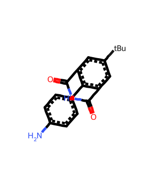 CC(C)(C)c1cc2c(-c3ccc(N)cc3)c(c1)C(=O)NC2=O